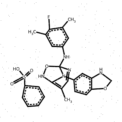 CC1=C2NOC(Nc3cc(C)c(F)c(C)c3)(N=C1)N2c1ccc2c(c1)NCO2.O=S(=O)(O)c1ccccc1